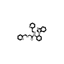 O=C(CN=Cc1ccccn1)N(N=Cc1ccccn1)c1ccccc1-n1cnc2ccccc21